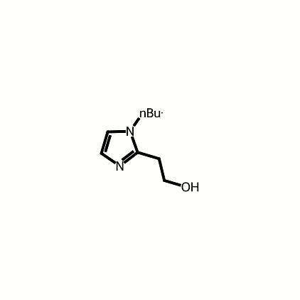 CCC[CH]n1ccnc1CCO